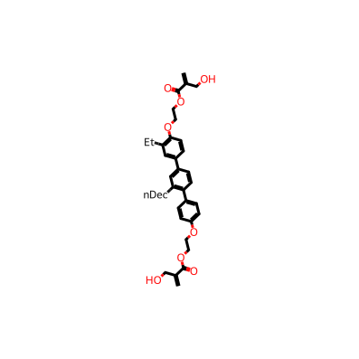 C=C(CO)C(=O)OCCOc1ccc(-c2ccc(-c3ccc(OCCOC(=O)C(=C)CO)c(CC)c3)cc2CCCCCCCCCC)cc1